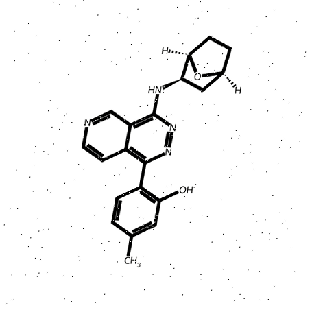 Cc1ccc(-c2nnc(N[C@@H]3C[C@@H]4CC[C@H]3O4)c3cnccc23)c(O)c1